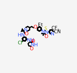 CCc1cc(N2C(=S)N(c3cnc(C#N)c(C(F)(F)F)c3)C(=O)C2(C)C)ccc1OCCC1CCN(C2(C(=O)Nc3cc(Cl)cc(NC4CCC(=O)NC4=O)c3)CC2)CC1